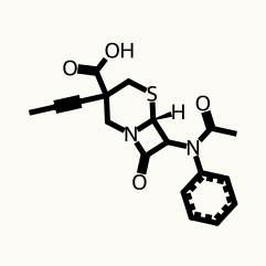 CC#CC1(C(=O)O)CS[C@@H]2C(N(C(C)=O)c3ccccc3)C(=O)N2C1